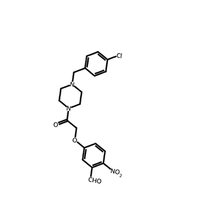 O=Cc1cc(OCC(=O)N2CCN(Cc3ccc(Cl)cc3)CC2)ccc1[N+](=O)[O-]